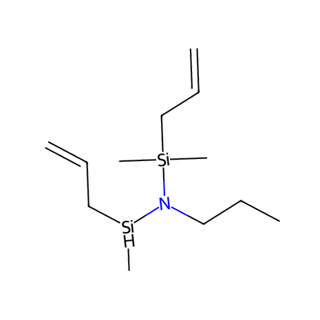 C=CC[SiH](C)N(CCC)[Si](C)(C)CC=C